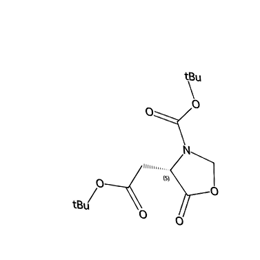 CC(C)(C)OC(=O)C[C@H]1C(=O)OCN1C(=O)OC(C)(C)C